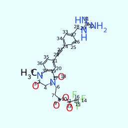 CN1C(=O)CN(CCC(=O)OC(=O)C(F)(F)F)C(=O)c2cc(C#Cc3ccc(CNC(=N)N)cc3)ccc21